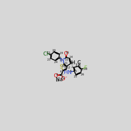 Cc1cc(Nc2c(C(=O)[O-])sc3c2ccc(=O)n3-c2ccc(Cl)cc2)ccc1F.[Na+]